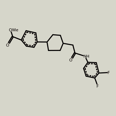 COC(=O)c1ccc(C2CCC(CC(=O)Nc3ccc(F)c(F)c3)CC2)cc1